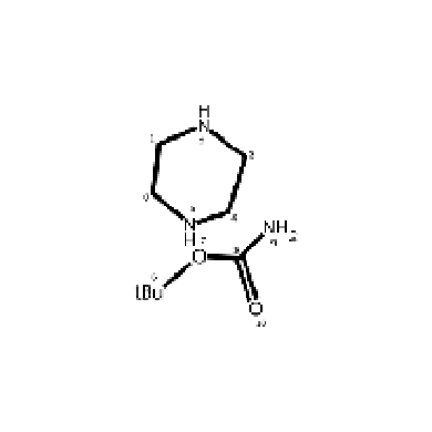 C1CNCCN1.CC(C)(C)OC(N)=O